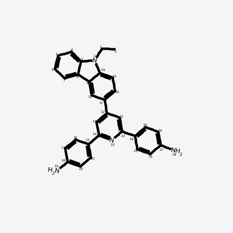 CCn1c2ccccc2c2cc(-c3cc(-c4ccc(N)cc4)nc(-c4ccc(N)cc4)c3)ccc21